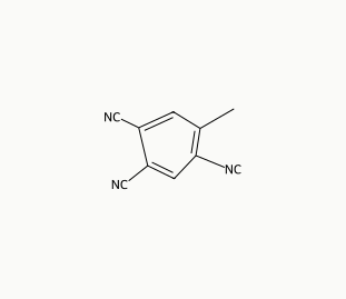 [C-]#[N+]c1cc(C#N)c(C#N)cc1C